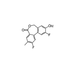 Cc1cc2c(cc1F)-c1cc(F)c(O)cc1COC2=O